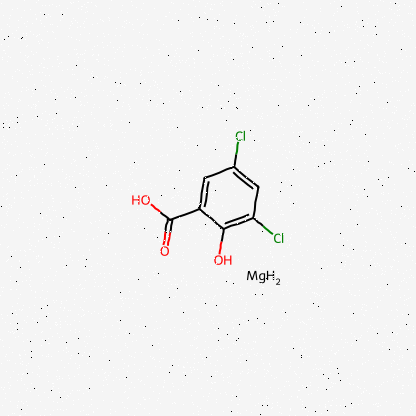 O=C(O)c1cc(Cl)cc(Cl)c1O.[MgH2]